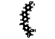 C=C(c1ccc(C2(O)COC2)cc1)N1CCc2cc(-c3ccc(C(F)(F)F)cc3)ccc2C1